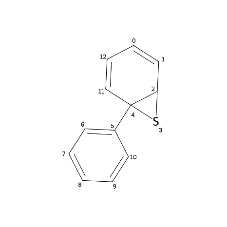 C1=CC2SC2(c2ccccc2)C=C1